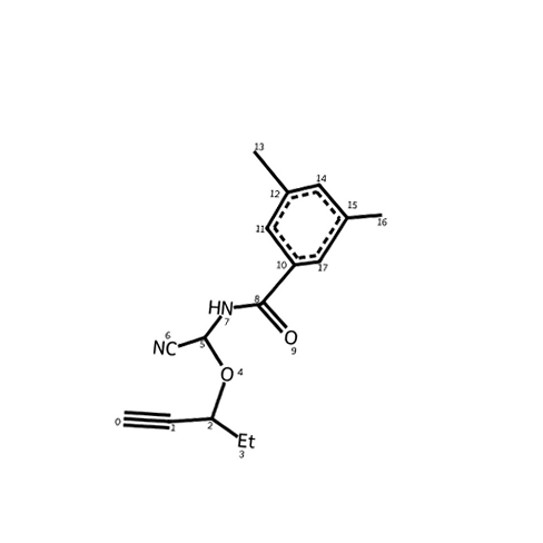 C#CC(CC)OC(C#N)NC(=O)c1cc(C)cc(C)c1